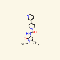 CC1CC(NC(=O)N2CC=C(c3cccnc3)CC2)C(=O)N1CC#N